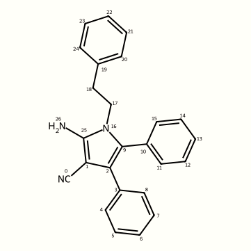 N#Cc1c(-c2ccccc2)c(-c2ccccc2)n(CCc2ccccc2)c1N